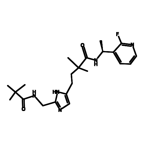 C[C@H](NC(=O)C(C)(C)CCc1cnc(CNC(=O)C(C)(C)C)[nH]1)c1cccnc1F